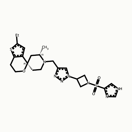 CCc1cc2c(s1)CCO[C@@]21CCN(Cc2cn(C3CN(S(=O)(=O)c4c[nH]cn4)C3)nn2)[C@@H](C)C1